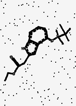 CCOC(=O)Cc1cc2c(O[Si](C)(C)C(C)(C)C)cccc2[nH]1